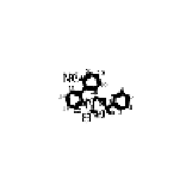 CC1(c2ccccc2)CCN(c2ccccc2-c2ccccc2C#N)C(=O)O1